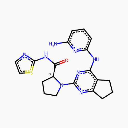 Nc1cccc(Nc2nc(N3CCC[C@H]3C(=O)Nc3nccs3)nc3c2CCC3)n1